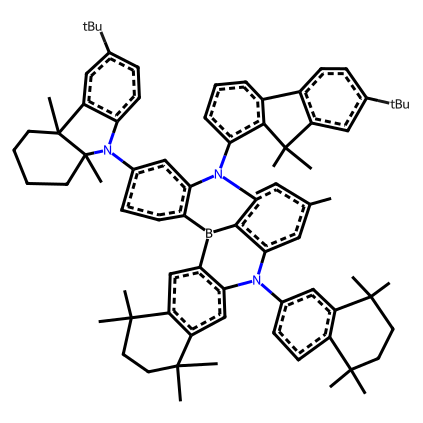 Cc1cc2c3c(c1)N(c1cccc4c1C(C)(C)c1cc(C(C)(C)C)ccc1-4)c1cc(N4c5ccc(C(C)(C)C)cc5C5(C)CCCCC45C)ccc1B3c1cc3c(cc1N2c1ccc2c(c1)C(C)(C)CCC2(C)C)C(C)(C)CCC3(C)C